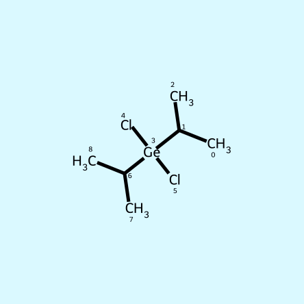 C[CH](C)[Ge]([Cl])([Cl])[CH](C)C